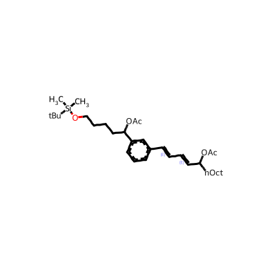 CCCCCCCCC(/C=C/C=C/c1cccc(C(CCCCO[Si](C)(C)C(C)(C)C)OC(C)=O)c1)OC(C)=O